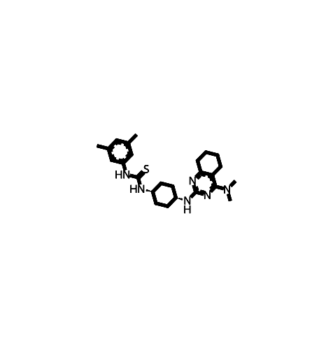 Cc1cc(C)cc(NC(=S)N[C@H]2CC[C@@H](Nc3nc4c(c(N(C)C)n3)CCCC4)CC2)c1